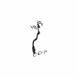 CC(C)CNCCCCC#CC(=O)O